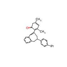 CC1=CC(C)=C(C2=Cc3ccccc3CC(c3ccc(C(C)C)cc3)C2)C(=O)C1